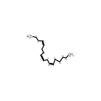 CCC/C=C\CC/C=C\C/C=C\CCCCC